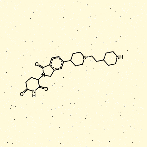 O=C1CCC(N2Cc3cc(C4CCN(CCC5CCNCC5)CC4)ccc3C2=O)C(=O)N1